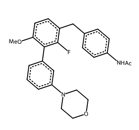 COc1ccc(Cc2ccc(NC(C)=O)cc2)c(F)c1-c1cccc(N2CCOCC2)c1